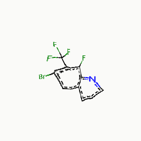 Fc1c(C(F)(F)F)c(Br)cc2cccnc12